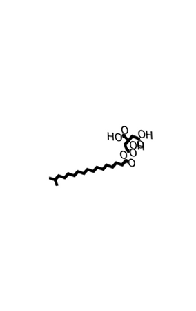 CC(C)CCCCCCCCCCCCCCC(=O)OC(=O)CC(O)(CC(=O)O)C(=O)O